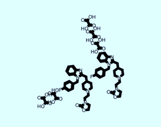 O=C(O)C(=O)O.O=C(O)C(=O)O.O=C(O)C(=O)O.O=C(O)C(=O)O.O=C(O)C(=O)O.O=C1OCCN1CCN1CCC(Cc2nc3ccccc3n2Cc2ccc(F)cc2)CC1.O=C1OCCN1CCN1CCC(Cc2nc3ccccc3n2Cc2ccc(F)cc2)CC1